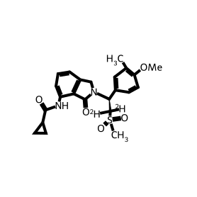 [2H]C([2H])([C@H](c1ccc(OC)c(C)c1)N1Cc2cccc(NC(=O)C3CC3)c2C1=O)S(C)(=O)=O